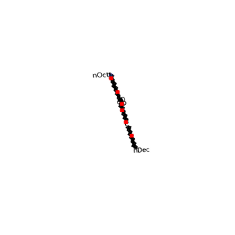 CCCCCCCC/C=C\CCCCCCCCCCCC(=O)OC(=O)CCCCCCCCCCCCCCCCCCCCCCCCCCCCCCCC